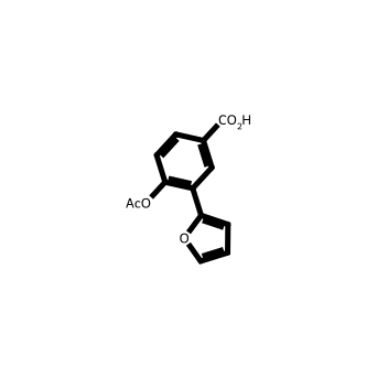 CC(=O)Oc1ccc(C(=O)O)cc1-c1ccco1